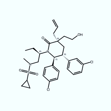 C=CC[C@]1(CCO)C[C@H](c2cccc(Cl)c2)[C@@H](c2ccc(Cl)cc2)N([C@H](CC)CN(C)S(=O)(=O)C2CC2)C1=O